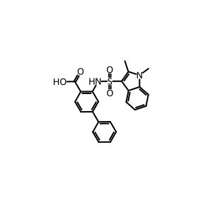 Cc1c(S(=O)(=O)Nc2cc(-c3ccccc3)ccc2C(=O)O)c2ccccc2n1C